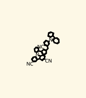 N#CC1=CC2c3cc(C#N)ccc3N(C3=C(c4cccc(Cc5cc(-n6c7c(c8ccccc86)C=CC=CC7)ccc5C#N)c4)C=CCC3)C2CC1